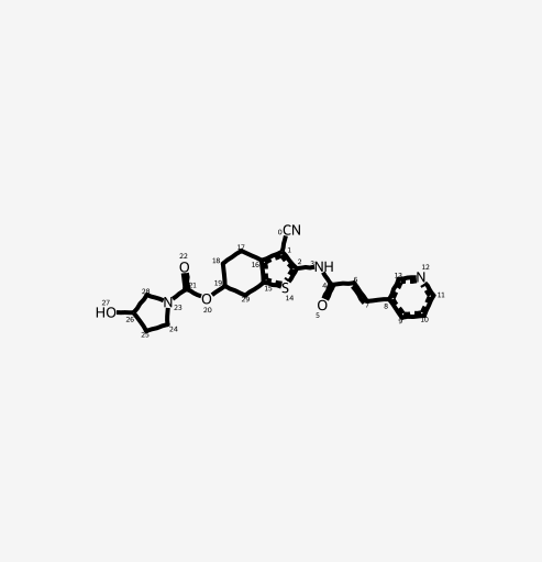 N#Cc1c(NC(=O)C=Cc2cccnc2)sc2c1CCC(OC(=O)N1CCC(O)C1)C2